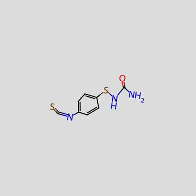 NC(=O)NSc1ccc(N=C=S)cc1